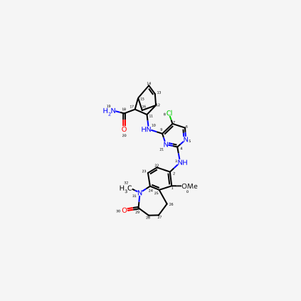 COc1c(Nc2ncc(Cl)c(NC3C4C=CC(C4)C3C(N)=O)n2)ccc2c1CCCC(=O)N2C